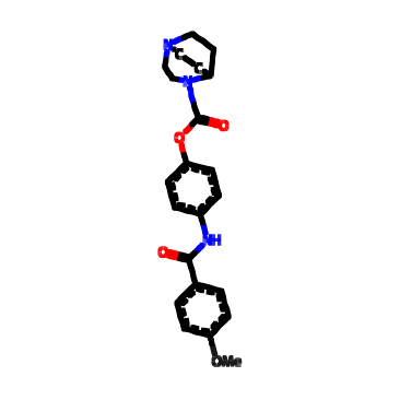 COc1ccc(C(=O)Nc2ccc(OC(=O)N3CCN4CCC3CC4)cc2)cc1